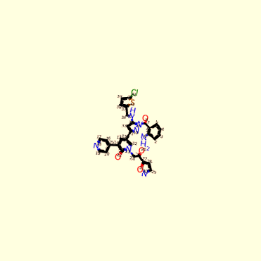 Nc1ccccc1C(=O)n1nc(-c2cc(-c3ccncc3)c(=O)n(CC(=O)c3ccno3)c2)cc1NCc1ccc(Cl)s1